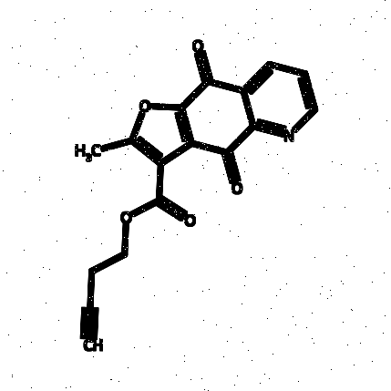 C#CCCOC(=O)c1c(C)oc2c1C(=O)c1ncccc1C2=O